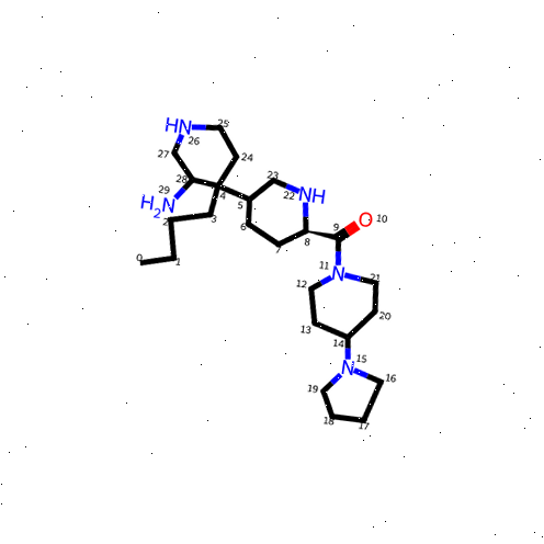 CCCCC1(C2CC[C@H](C(=O)N3CCC(N4CCCC4)CC3)NC2)CCNCC1N